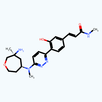 CNC(=O)/C=C/c1ccc(-c2ccc(N(C)[C@H]3CCOC[C@@](C)(N)C3)nn2)c(O)c1